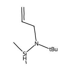 C=CCN([SiH](C)C)C(C)(C)C